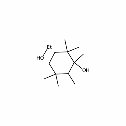 CC1C(C)(C)CCC(C)(C)C1(C)O.CCO